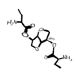 CCC(N)C(=O)OC1COC2C1OC[C@H]2OC(=O)C(N)CC